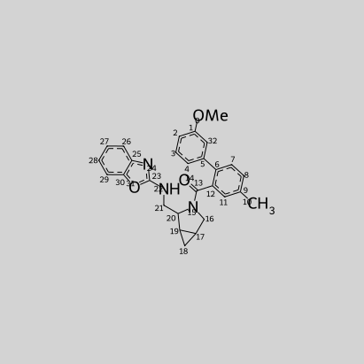 COc1cccc(-c2ccc(C)cc2C(=O)N2CC3CC3C2CNc2nc3ccccc3o2)c1